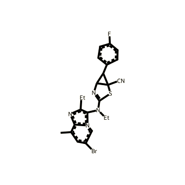 CCc1nc2c(C)cc(Br)cn2c1N(CC)C1=NC2C(c3ccc(F)cc3)C2(C#N)S1